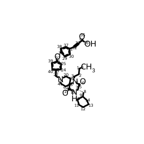 CCCCN1C(=O)[C@H](CC2CCCCC2)NC(=O)C12CCN(Cc1ccc(Oc3ccc(C#CC(=O)O)cc3)cc1)CC2